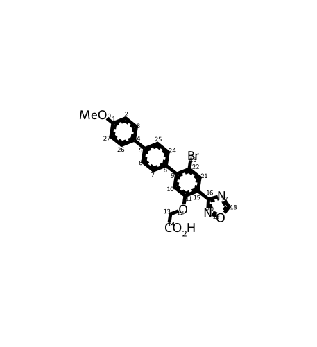 COc1ccc(-c2ccc(-c3cc(OCC(=O)O)c(-c4ncon4)cc3Br)cc2)cc1